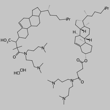 CC(C)CCC[C@@H](C)C1CCC2C3CC=C4CC(C(C(=O)O)C(C)(C)C(=O)N(CCCN(C)C)CCCN(C)C)CCC4C3CCC21.CC(C)CCC[C@@H](C)[C@H]1CC[C@H]2[C@@H]3CC=C4C[C@@H](OC(=O)CCC(=O)N(CCCN(C)C)CCCN(C)C)CC[C@]4(C)[C@H]3CC[C@]12C.Cl.Cl